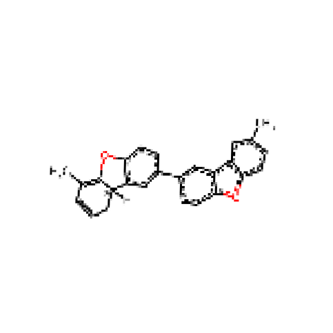 CC1=C2Oc3ccc(-c4ccc5oc6ccc(C)cc6c5c4)cc3[C@@H]2CC=C1